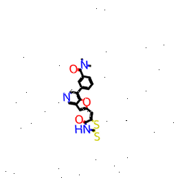 CN(C)C(=O)c1cccc(-c2cncc3cc(/C=C4/SC(=S)NC4=O)oc23)c1